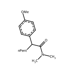 CCCCCC(C(=O)N(C)C)c1ccc(OC)cc1